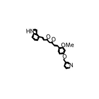 COc1cc(OCc2cccnc2)ccc1C=CC(=O)CC(=O)C=Cc1cccc2[nH]ccc12